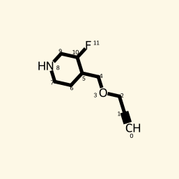 C#CCOCC1CCNCC1F